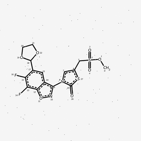 COS(=O)(=O)Cc1cn(-c2noc3c(F)c(F)c(C4OCCO4)cc23)c(=O)s1